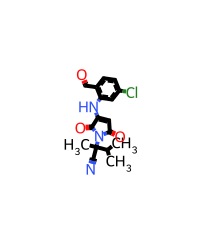 CC(C)C(C)(C#N)N1C(=O)C=C(Nc2cc(Cl)ccc2C=O)C1=O